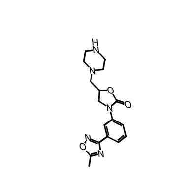 Cc1nc(-c2cccc(N3CC(CN4CCNCC4)OC3=O)c2)no1